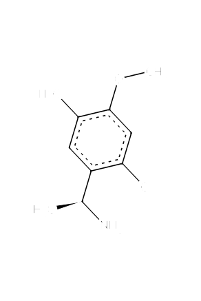 COc1cc(Cl)c([C@H](C)N)cc1C